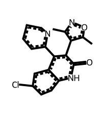 Cc1noc(C)c1-c1c(-c2ccccn2)c2cc(Cl)ccc2[nH]c1=O